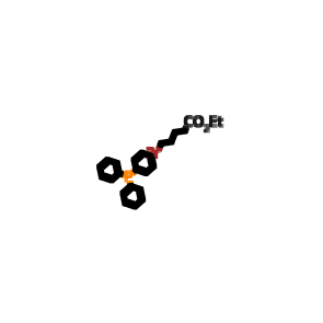 CCOC(=O)CCCCBr.c1ccc(P(c2ccccc2)c2ccccc2)cc1